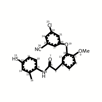 COc1ccc(CC(=O)Nc2ccc(S)cc2C)cc1Oc1cc(Cl)cc(C#N)c1